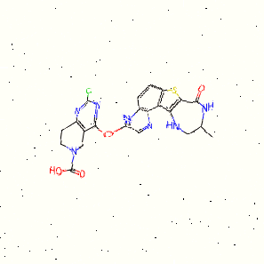 CC1CNc2c(sc3ccc4nc(Oc5nc(Cl)nc6c5CN(C(=O)O)CC6)cnc4c23)C(=O)N1